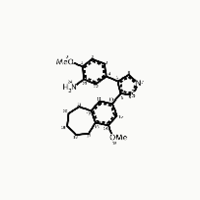 COc1ccc(-c2cnsc2-c2cc3c(c(OC)c2)CCCCC3)cc1N